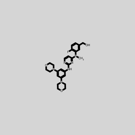 CN(c1ccnc(Nc2cc(N3CCOCC3)cc(N3CCOCC3)c2)n1)c1cc(CO)ccc1F